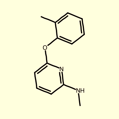 CNc1cccc(Oc2ccccc2C)n1